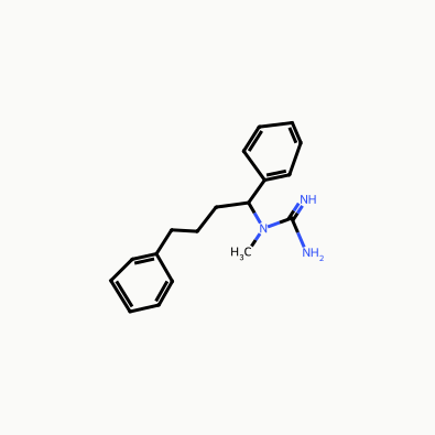 CN(C(=N)N)C(CCCc1ccccc1)c1ccccc1